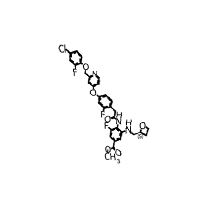 COC(=O)c1cc(F)c(NC(=O)Cc2ccc(Oc3ccnc(COc4ccc(Cl)cc4F)c3)cc2F)c(NC[C@@H]2CCO2)c1